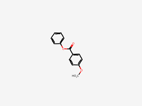 O=C(O)Oc1ccc(C(=O)Oc2ccccc2)cc1